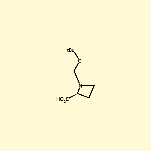 CC(C)(C)OCN1CC[C@@H]1C(=O)O